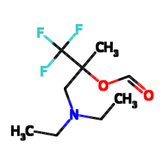 CCN(CC)CC(C)(OC=O)C(F)(F)F